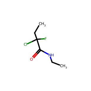 CCNC(=O)C(F)(Cl)CC